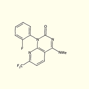 CNc1nc(=O)n(-c2ccccc2F)c2nc(C(F)(F)F)ccc12